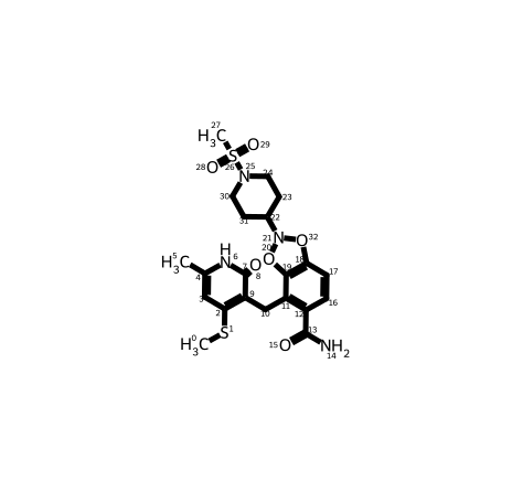 CSc1cc(C)[nH]c(=O)c1Cc1c(C(N)=O)ccc2c1ON(C1CCN(S(C)(=O)=O)CC1)O2